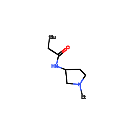 CCN1CCC(NC(=O)CC(C)(C)C)C1